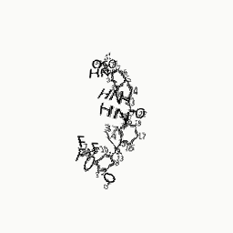 COc1cc(OC(F)(F)F)cc(C(C)(C)c2cccc(NC(=O)c3cc4ccc(NS(C)(=O)=O)cc4[nH]3)c2)c1